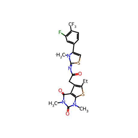 [CH2]n1c(-c2ccc(C(F)(F)F)c(F)c2)cs/c1=N\C(=O)Cc1c(CC)sc2c1c(=O)n(C)c(=O)n2C